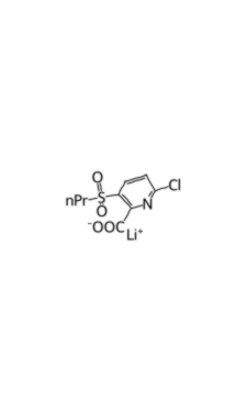 CCCS(=O)(=O)c1ccc(Cl)nc1C(=O)[O-].[Li+]